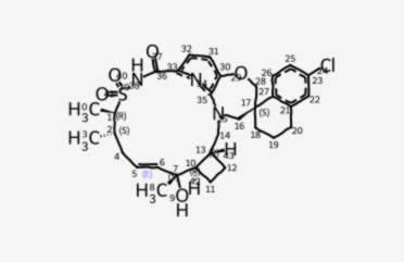 C[C@@H]1[C@@H](C)C/C=C/[C@@](C)(O)[C@@H]2CC[C@H]2CN2C[C@@]3(CCCc4cc(Cl)ccc43)COc3ccc(nc32)C(=O)NS1(=O)=O